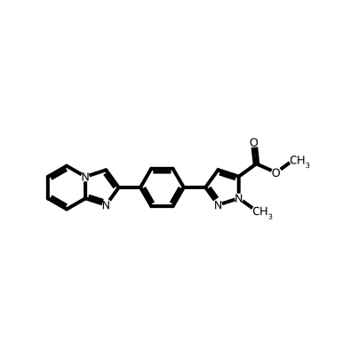 COC(=O)c1cc(-c2ccc(-c3cn4ccccc4n3)cc2)nn1C